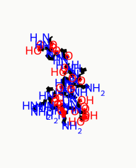 CC(C)C[C@H](NC(=O)[C@H](Cc1c[nH]cn1)NC(=O)[C@@H]1CCCN1C(=O)[C@H](CCCCN)NC(=O)[C@H](CC(C)C)NC(=O)[C@H](CO)NC(=O)CNC(=O)[C@@H](NC(=O)[C@@H]1CCCN1C(=O)[C@H](CC(=O)O)NC(=O)[C@H](C)N)C(C)C)C(=O)N[C@@H](CCCNC(=N)N)C(=O)N[C@@H](C)C(=O)N[C@@H](CCCCN)C(=O)N[C@@H](CC(N)=O)C(=O)N[C@@H](CO)C(=O)N[C@@H](CC(=O)O)C(=O)O